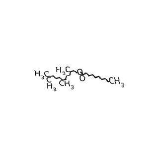 CCCCCCCCCC(=O)OCCC(C)CCCC(C)CCCC(C)C